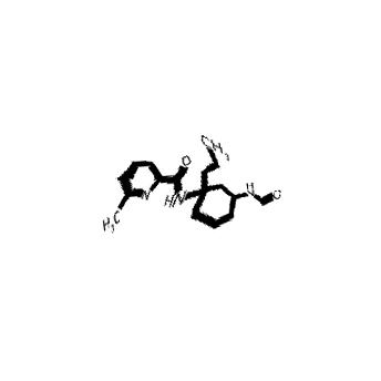 CCCC1(NC(=O)c2cccc(C)n2)CCCC(NC=O)C1